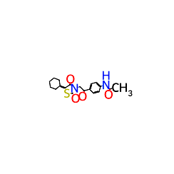 CC(=O)Nc1ccc(C(=O)CN2C(=O)SC(=C3CCCCC3)C2=O)cc1